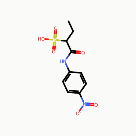 CCC(C(=O)Nc1ccc([N+](=O)[O-])cc1)S(=O)(=O)O